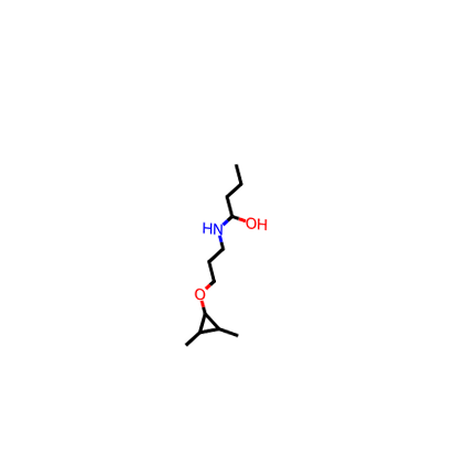 CCCC(O)NCCCOC1C(C)C1C